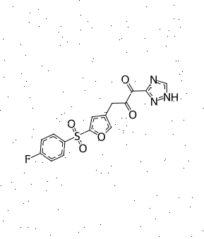 O=C(Cc1coc(S(=O)(=O)c2ccc(F)cc2)c1)C(=O)c1nc[nH]n1